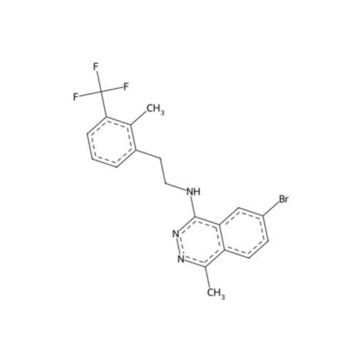 Cc1c(CCNc2nnc(C)c3ccc(Br)cc23)cccc1C(F)(F)F